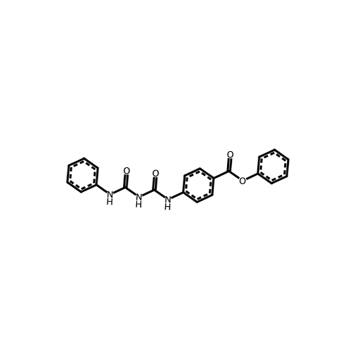 O=C(NC(=O)Nc1ccc(C(=O)Oc2ccccc2)cc1)Nc1ccccc1